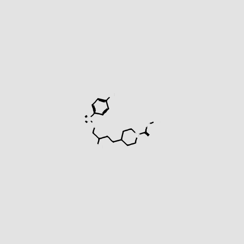 Cc1ccc(S(=O)(=O)OCC(C)CCC2CCN(C(=O)OC(C)(C)C)CC2)cc1